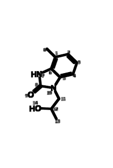 Cc1cccc2c1[nH]c(=O)n2CC(C)O